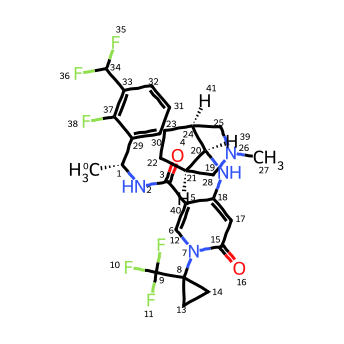 C[C@@H](NC(=O)c1cn(C2(C(F)(F)F)CC2)c(=O)cc1N[C@H]1[C@@H]2CC[C@H]1CN(C)C2)c1cccc(C(F)F)c1F